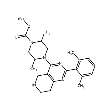 Cc1cccc(C)c1-c1nc2c(c(N3CC(C)N(C(=O)OC(C)(C)C)CC3C)n1)CNCC2